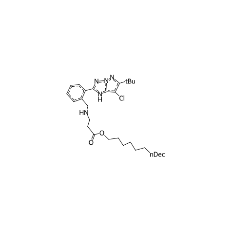 CCCCCCCCCCCCCCCCOC(=O)CCNCc1ccccc1-c1nn2nc(C(C)(C)C)c(Cl)c2[nH]1